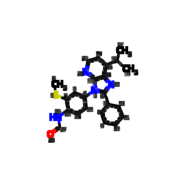 CSc1cc(-n2c(-c3ccccc3)nc3c(C(C)C)ccnc32)ccc1NC=O